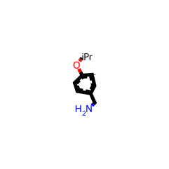 CC(C)Oc1[c]cc(CN)cc1